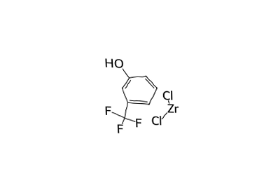 Oc1cccc(C(F)(F)F)c1.[Cl][Zr][Cl]